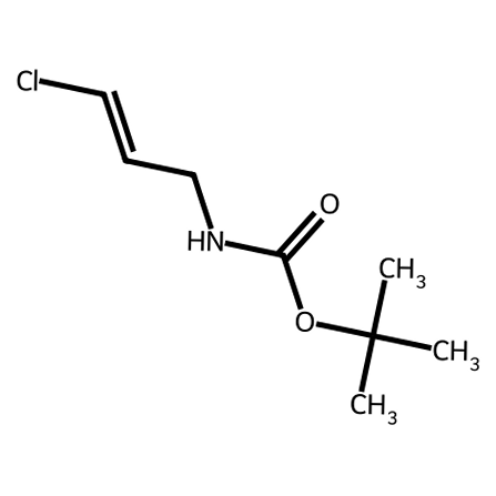 CC(C)(C)OC(=O)NCC=CCl